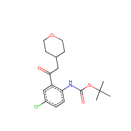 CC(C)(C)OC(=O)Nc1ccc(Cl)cc1C(=O)CC1CCOCC1